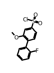 COc1cc(S(=O)(=O)Cl)ccc1-c1ccccc1F